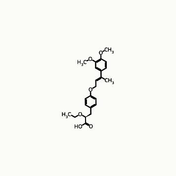 CCO[C@@H](Cc1ccc(OC/C=C(\C)c2ccc(OC)c(OC)c2)cc1)C(=O)O